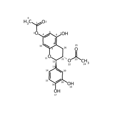 CC(=O)Oc1cc(O)c2c(c1)O[C@H](c1ccc(O)c(O)c1)[C@@H](OC(C)=O)C2